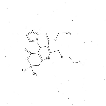 CCOC(=O)C1=C(COCCN)NC2=C(C(=O)CC(C)(C)C2)C1c1nccs1